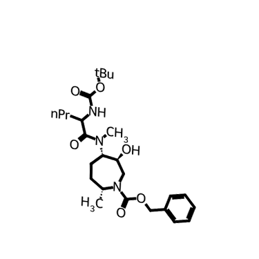 CCCC(NC(=O)OC(C)(C)C)C(=O)N(C)[C@H]1CC[C@@H](C)N(C(=O)OCc2ccccc2)C[C@@H]1O